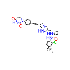 N=C/C(=C\NC1(C(=O)Nc2ccc(C(F)(F)F)cc2Cl)CCC1)CN1CC(C#Cc2ccc(N3CCC(=O)NC3=O)cc2)C1